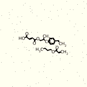 C=CC(=O)OCCCC.C=Cc1ccccc1.CC(C)COC(=O)C=CC(=O)O